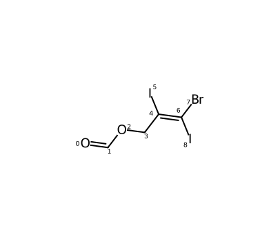 O=COCC(I)=C(Br)I